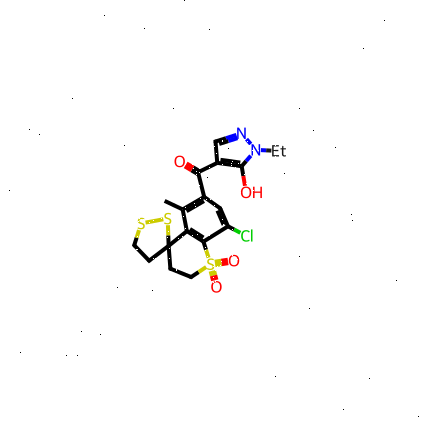 CCn1ncc(C(=O)c2cc(Cl)c3c(c2C)C2(CCSS2)CCS3(=O)=O)c1O